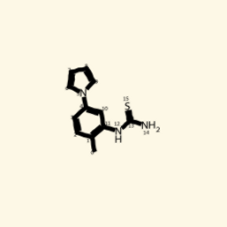 Cc1ccc(-n2cccc2)cc1NC(N)=S